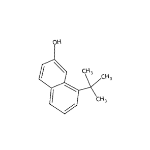 CC(C)(C)c1cccc2ccc(O)cc12